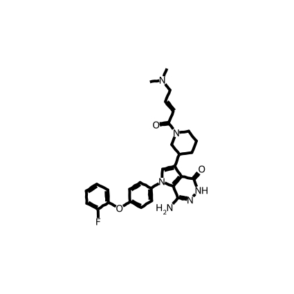 CN(C)CC=CC(=O)N1CCCC(c2cn(-c3ccc(Oc4ccccc4F)cc3)c3c(N)n[nH]c(=O)c23)C1